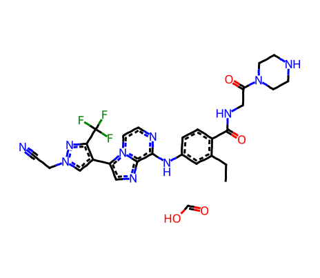 CCc1cc(Nc2nccn3c(-c4cn(CC#N)nc4C(F)(F)F)cnc23)ccc1C(=O)NCC(=O)N1CCNCC1.O=CO